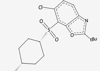 CC(C)(C)c1nc2ccc(Cl)c(S(=O)(=O)[C@H]3CC[C@@H](N)CC3)c2o1